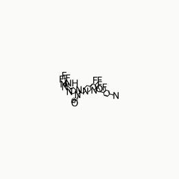 N#Cc1ccc(COc2nc3c(cc2C(F)(F)F)CCN(Cc2nc4cc(-c5nnc(C(F)(F)F)[nH]5)ncc4n2C[C@@H]2CCO2)C3)c(F)c1